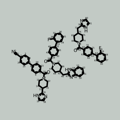 N#Cc1ccc(-c2ccc(C(=O)N3CCC(c4ncc[nH]4)CC3)cc2)cc1.O=C(c1ccc(-c2ccccc2F)cc1)N1CCC(Cc2nc3ccccc3[nH]2)CC1.O=C(c1ccc(-c2ccccc2F)cc1)N1CCC(Cc2ncc[nH]2)CC1